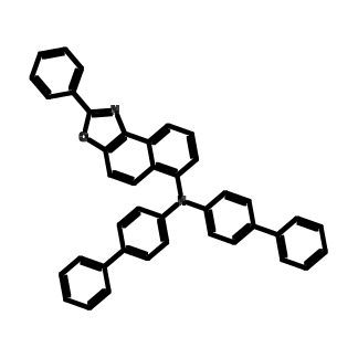 c1ccc(-c2ccc(N(c3ccc(-c4ccccc4)cc3)c3cccc4c3ccc3oc(-c5ccccc5)nc34)cc2)cc1